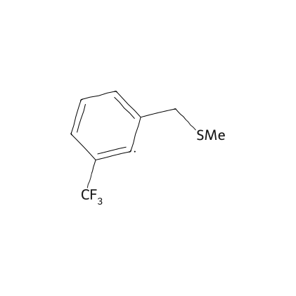 CSCc1[c]c(C(F)(F)F)ccc1